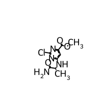 COC(=O)c1cc(N[C@@H](C)C(N)=O)nc(Cl)n1